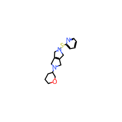 c1ccc(SN2CC3=C(C2)CN(C2CCCOC2)C3)nc1